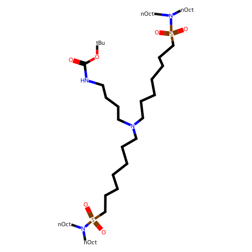 CCCCCCCCN(CCCCCCCC)S(=O)(=O)CCCCCCCN(CCCCCCCS(=O)(=O)N(CCCCCCCC)CCCCCCCC)CCCCNC(=O)OC(C)(C)C